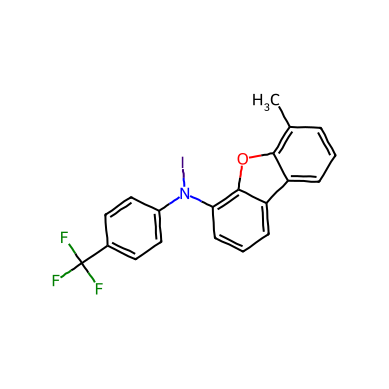 Cc1cccc2c1oc1c(N(I)c3ccc(C(F)(F)F)cc3)cccc12